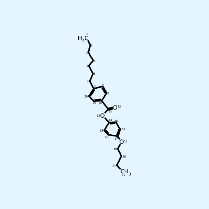 CCCCCCCc1ccc(C(=O)Oc2ccc(OCCCC)cc2)cc1